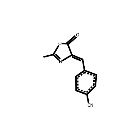 CC1=N/C(=C\c2ccc(C#N)cc2)C(=O)O1